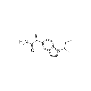 C=C(C(N)=O)c1ccc2c(ccn2C(C)CC)c1